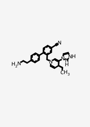 CCC1C=CN(Cc2cc(C#N)ccc2-c2ccc(CCN)cc2)C=C1N1C=CNN1